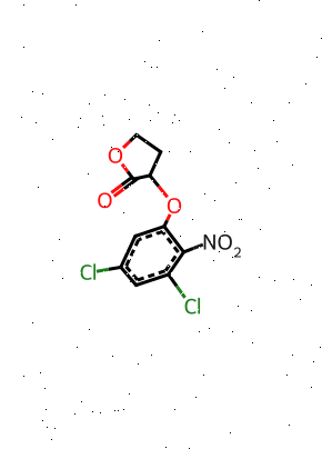 O=C1OCCC1Oc1cc(Cl)cc(Cl)c1[N+](=O)[O-]